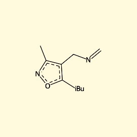 C=NCc1c(C)noc1C(C)CC